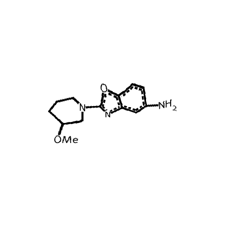 COC1CCCN(c2nc3cc(N)ccc3o2)C1